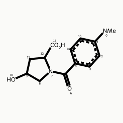 CNc1ccc(C(=O)N2CC(O)CC2C(=O)O)cc1